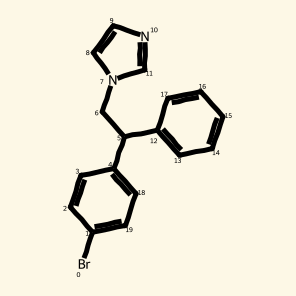 Brc1ccc(C(Cn2ccnc2)c2ccccc2)cc1